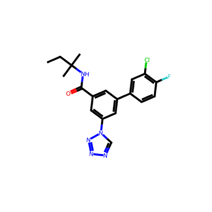 CCC(C)(C)NC(=O)c1cc(-c2ccc(F)c(Cl)c2)cc(-n2cnnn2)c1